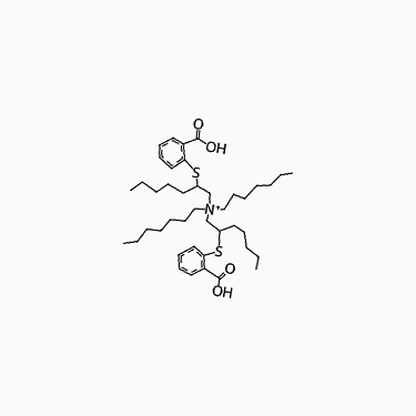 CCCCCCC[N+](CCCCCCC)(CC(CCCCC)Sc1ccccc1C(=O)O)CC(CCCCC)Sc1ccccc1C(=O)O